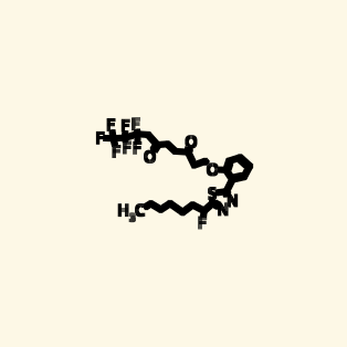 CCCCCCC(F)c1nnc(-c2ccccc2OCCC(=O)CCC(=O)CC(F)(F)C(F)(F)C(F)(F)F)s1